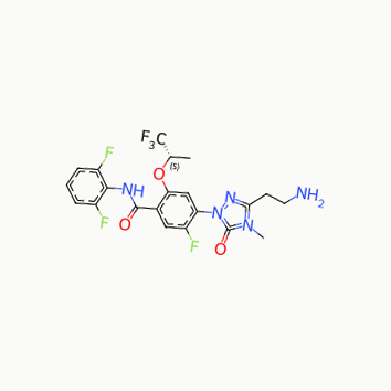 C[C@H](Oc1cc(-n2nc(CCN)n(C)c2=O)c(F)cc1C(=O)Nc1c(F)cccc1F)C(F)(F)F